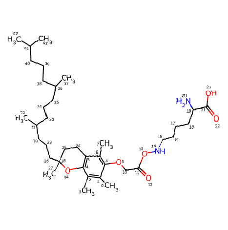 Cc1c(C)c2c(c(C)c1OCC(=O)ONCCCCC(N)C(=O)O)CCC(C)(CCCC(C)CCCC(C)CCCC(C)C)O2